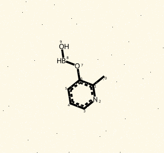 Cc1ncccc1OBO